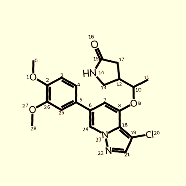 COc1ccc(-c2cc(OC(C)C3CNC(=O)C3)c3c(Cl)cnn3c2)cc1OC